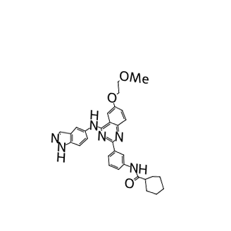 COCCOc1ccc2nc(-c3cccc(NC(=O)C4CCCCC4)c3)nc(Nc3ccc4[nH]ncc4c3)c2c1